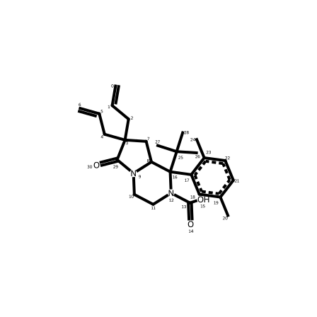 C=CCC1(CC=C)CC2N(CCN(C(=O)O)C2(c2cc(C)ccc2C)C(C)(C)C)C1=O